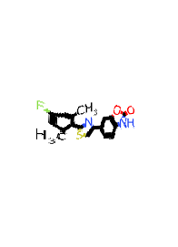 Cc1cc(F)cc(C)c1-c1nc(-c2ccc3[nH]c(=O)oc3c2)cs1